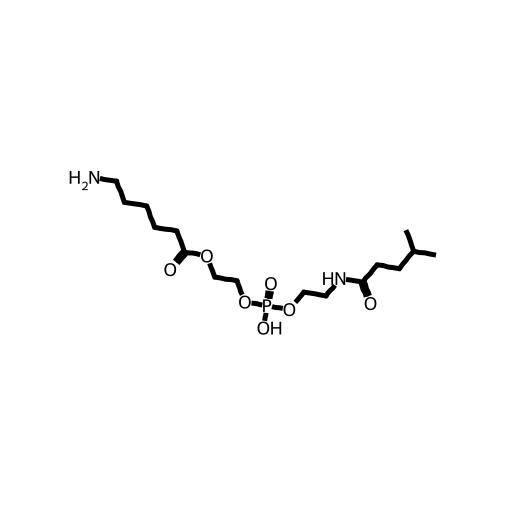 CC(C)CCC(=O)NCCOP(=O)(O)OCCOC(=O)CCCCCN